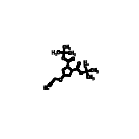 C#CCOC1CC(C(=O)OC(C)(C)C)N(C(=O)OC(C)(C)C)C1